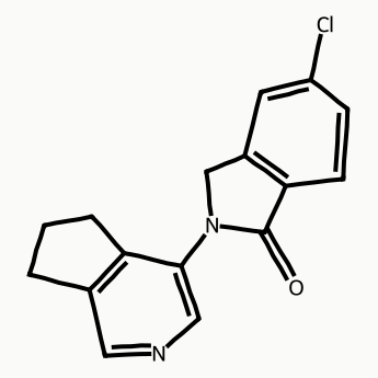 O=C1c2ccc(Cl)cc2CN1c1cncc2c1CCC2